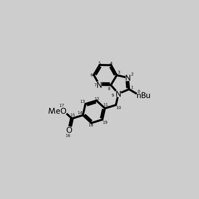 CCCCc1nc2cccnc2n1Cc1ccc(C(=O)OC)cc1